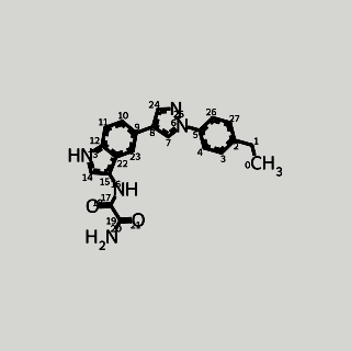 CCc1ccc(-n2cc(-c3ccc4[nH]cc(NC(=O)C(N)=O)c4c3)cn2)cc1